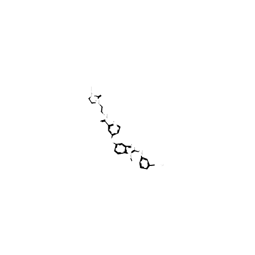 Cn1c(Nc2cccc(C(C)(C)C)c2)nc2cc(Oc3ccnc(C(=O)NCCN4CCNC4=O)c3)ccc21